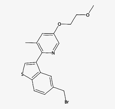 COCCOc1cnc(-c2csc3ccc(CBr)cc23)c(C)c1